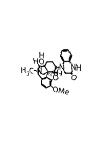 COc1ccc2c3c1O[C@H]1[C@H](N4CC(=O)Nc5ccccc54)CCC4(O)[C@@H](C2)N(C)CC[C@]314